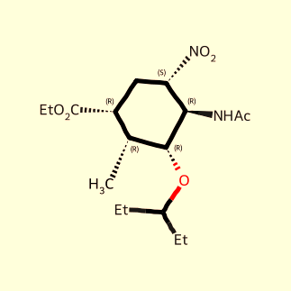 CCOC(=O)[C@@H]1C[C@H]([N+](=O)[O-])[C@@H](NC(C)=O)[C@H](OC(CC)CC)[C@@H]1C